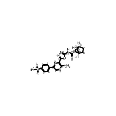 CC(C)S(=O)(=O)c1ccc(-c2cnc(N)c(-c3nnc(NC(=O)[C@H]4N[C@H]5CC[C@@H]4C5)o3)n2)cc1